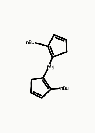 CCCCC1=[C]([Mg][C]2=C(CCCC)C=CC2)CC=C1